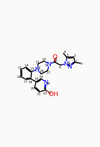 Cc1cc(C)n(CC(=O)N2CCN(c3ccccc3-c3ccc(O)nc3)CC2)n1